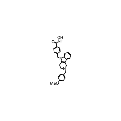 COc1ccc(CN2CCc3c(c4ccccc4n3Cc3ccc(C(=O)NO)cc3)C2)cc1